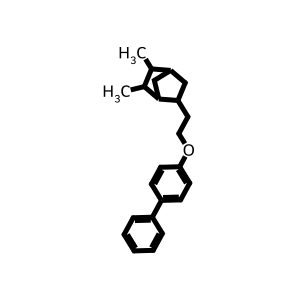 CC1C2CC(CCOc3ccc(-c4ccccc4)cc3)C(C2)C1C